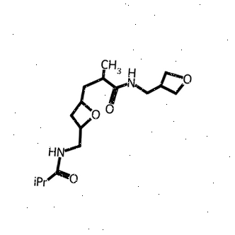 CC(C)C(=O)NCC1CC(CC(C)C(=O)NCC2COC2)O1